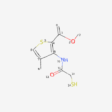 C=C(OC)c1scc(C)c1NC(=O)CS